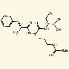 CNC(=N)NCCC[C@H](NC(=O)/C(C)=C/c1ccccc1)C(=O)N[C@@H](CC(C)C)B(O)O